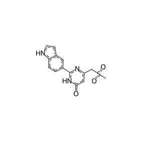 CS(=O)(=O)Cc1cc(=O)[nH]c(-c2ccc3[nH]ccc3c2)n1